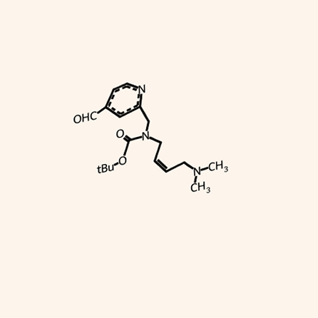 CN(C)C/C=C\CN(Cc1cc(C=O)ccn1)C(=O)OC(C)(C)C